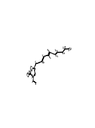 C=CN1CC(CCCCCCCCCC)OC1=O